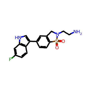 NCCN1Cc2cc(-c3c[nH]c4cc(F)ccc34)ccc2S1(=O)=O